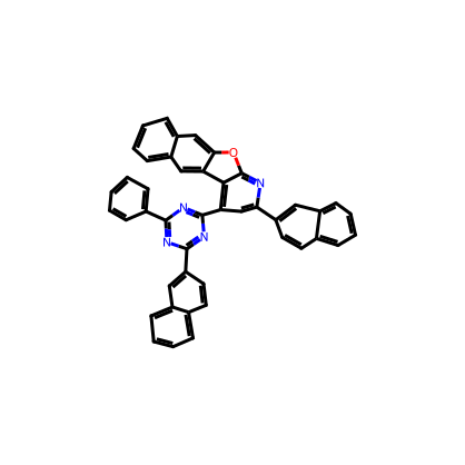 c1ccc(-c2nc(-c3ccc4ccccc4c3)nc(-c3cc(-c4ccc5ccccc5c4)nc4oc5cc6ccccc6cc5c34)n2)cc1